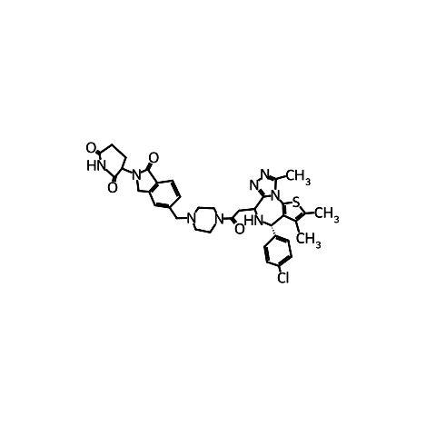 Cc1sc2c(c1C)[C@H](c1ccc(Cl)cc1)NC(CC(=O)N1CCN(Cc3ccc4c(c3)CN(C3CCC(=O)NC3=O)C4=O)CC1)c1nnc(C)n1-2